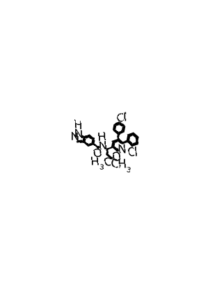 CC1(C)C[C@@H](NC(=O)c2ccc3[nH]ncc3c2)c2cc(-c3ccc(Cl)cc3)c(-c3ccccc3Cl)nc2O1